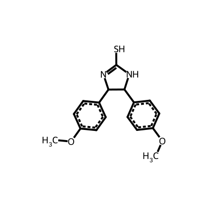 COc1ccc(C2N=C(S)NC2c2ccc(OC)cc2)cc1